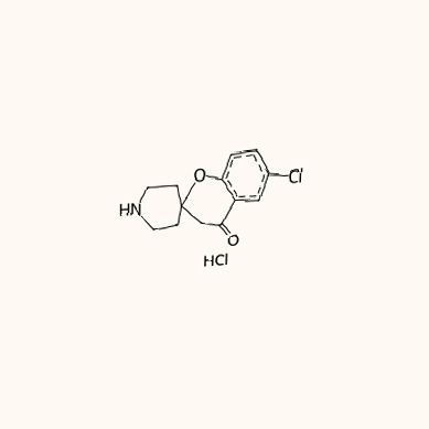 Cl.O=C1CC2(CCNCC2)Oc2ccc(Cl)cc21